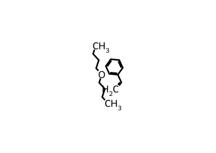 C=Cc1ccccc1.CCCCOCCCC